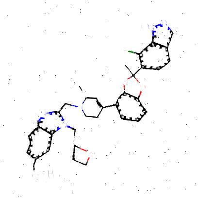 C[C@H]1C=C(c2cccc3c2OC(C)(c2ccc4cn[nH]c4c2F)O3)CCN1Cc1nc2ccc(C(=O)O)cc2n1C[C@@H]1CCO1